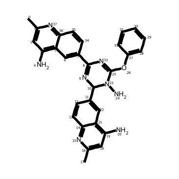 Cc1cc(N)c2cc(C3=NC(c4ccc5nc(C)cc(N)c5c4)N(N)C(Oc4ccccc4)=N3)ccc2n1